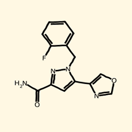 NC(=O)c1cc(-c2cocn2)n(Cc2ccccc2F)n1